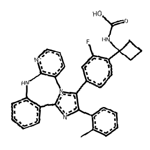 Cc1ccccc1-c1nc2n(c1-c1ccc(C3(NC(=O)O)CCC3)c(F)c1)-c1cccnc1Nc1ccccc1-2